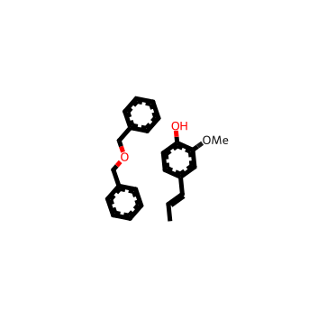 CC=Cc1ccc(O)c(OC)c1.c1ccc(COCc2ccccc2)cc1